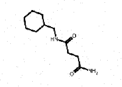 NC(=O)CCC(=O)NCC1CCCCC1